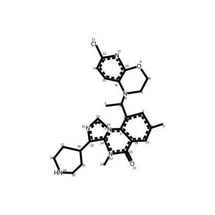 Cc1cc(C(C)N2CCOc3nc(Cl)ccc32)c2c(c1)c(=O)n(C)c1c(C3CCNCC3)ncn21